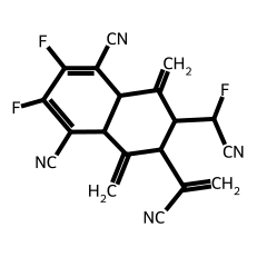 C=C(C#N)C1C(=C)C2C(C#N)=C(F)C(F)=C(C#N)C2C(=C)C1C(F)C#N